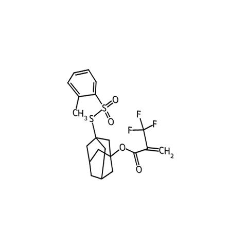 C=C(C(=O)OC12CC3CC(C1)CC(SS(=O)(=O)c1ccccc1C)(C3)C2)C(F)(F)F